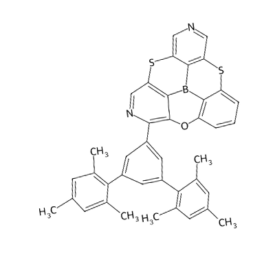 Cc1cc(C)c(-c2cc(-c3ncc4c5c3Oc3cccc6c3B5c3c(cncc3S4)S6)cc(-c3c(C)cc(C)cc3C)c2)c(C)c1